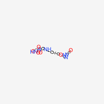 CC(C)(c1ccc(C#CCNc2ccc3c(c2)C(=O)N(C2CCC(=O)NC2=O)C3=O)cc1)c1ccc(OCc2ccnc(N3CC4(CC(=O)C4)C3)n2)cc1